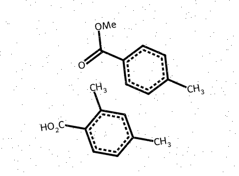 COC(=O)c1ccc(C)cc1.Cc1ccc(C(=O)O)c(C)c1